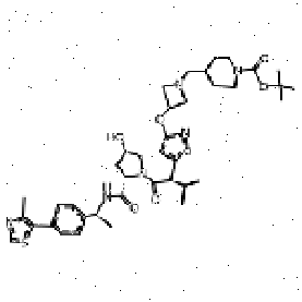 Cc1ncsc1-c1ccc([C@H](C)NC(=O)[C@@H]2C[C@@H](O)CN2C(=O)[C@@H](c2cc(OC3CN(CC4CCN(C(=O)OC(C)(C)C)CC4)C3)no2)C(C)C)cc1